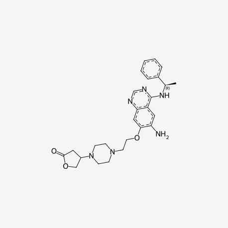 C[C@@H](Nc1ncnc2cc(OCCN3CCN(C4COC(=O)C4)CC3)c(N)cc12)c1ccccc1